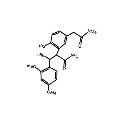 CCCCC(c1ccc(OC)cc1OC)C(C(N)=O)c1cc(CC(=O)NC)ccc1C(C)(C)C